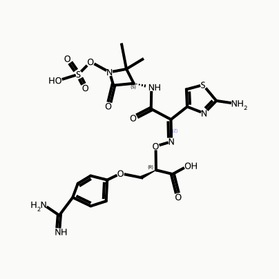 CC1(C)[C@H](NC(=O)/C(=N\O[C@H](COc2ccc(C(=N)N)cc2)C(=O)O)c2csc(N)n2)C(=O)N1OS(=O)(=O)O